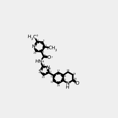 Cc1cc(C)c(C(=O)Nc2nc(-c3ccc4c(c3)CCC(=O)N4)cs2)cn1